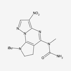 CCC(C)N1CCc2c(N(C)C(N)=O)nc3c([N+](=O)[O-])cnn3c21